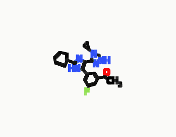 CC(=O)c1cc(F)cc(-c2[nH]c(-c3ccccc3)nc2C2=NNCN2C2CC2)c1